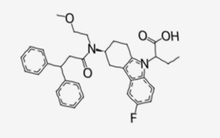 CCC(C(=O)O)n1c2c(c3cc(F)ccc31)C[C@@H](N(CCOC)C(=O)CC(c1ccccc1)c1ccccc1)CC2